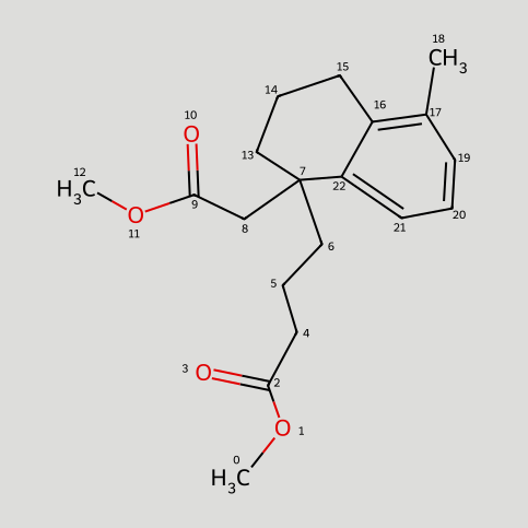 COC(=O)CCCC1(CC(=O)OC)CCCc2c(C)cccc21